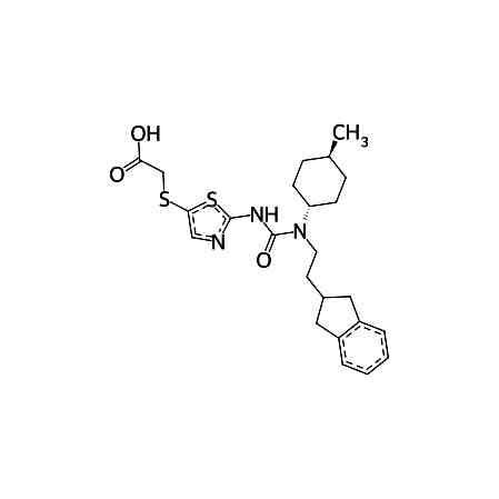 C[C@H]1CC[C@H](N(CCC2Cc3ccccc3C2)C(=O)Nc2ncc(SCC(=O)O)s2)CC1